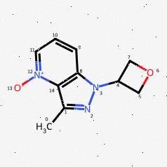 Cc1nn(C2COC2)c2ccc[n+]([O-])c12